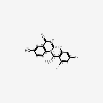 C[C@H](c1c(F)cc(F)cc1F)n1cnc(=O)c2cc(O)ccc21